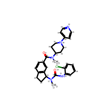 CN(C(=O)c1ccc2c(c1)C(N(C)C(=O)Nc1ccccc1Cl)CC2)C1CCN(c2ccncc2)CC1